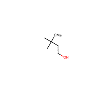 [CH2]OC(C)(C)CCO